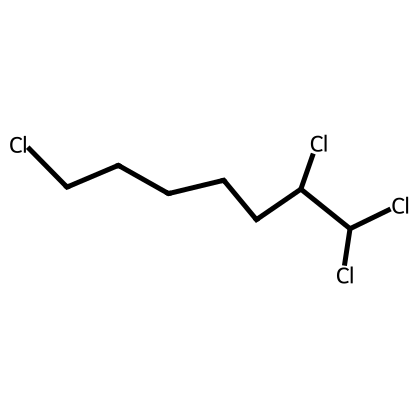 ClCCCCCC(Cl)C(Cl)Cl